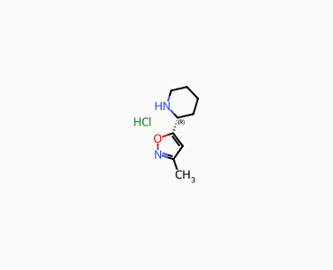 Cc1cc([C@H]2CCCCN2)on1.Cl